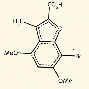 COc1cc(OC)c2c(C)c(C(=O)O)oc2c1Br